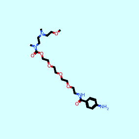 COCCN(C)CCN(C)C(=O)OCCOCCOCCOCCNC(=O)c1ccc(N)cc1